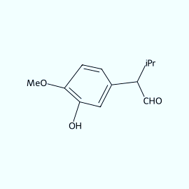 COc1ccc(C(C=O)C(C)C)cc1O